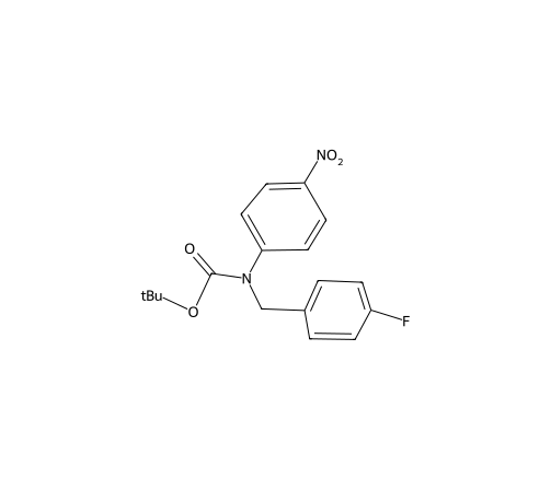 CC(C)(C)OC(=O)N(Cc1ccc(F)cc1)c1ccc([N+](=O)[O-])cc1